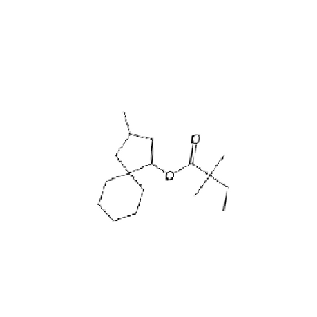 CCC(C)(C)C(=O)OC1CC(C)CC12CCCCC2